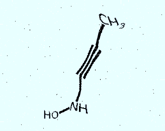 CC#CNO